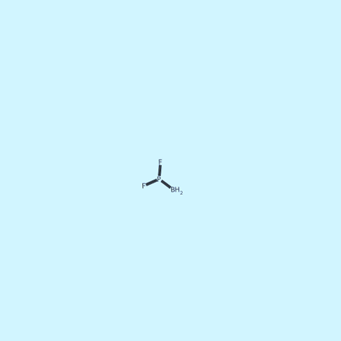 BP(F)F